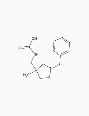 CC1(CNC(=O)O)CCN(Cc2ccccc2)C1